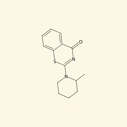 CC1CCCCN1c1nc(=O)c2ccccc2s1